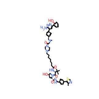 Cc1ncsc1-c1ccc(CNC(=O)[C@@H]2C[C@@H](O)CN2C(=O)[C@@H](NC(=O)CCCCCCCN2CCN(C(=O)CN(C)Cc3ccc(-c4cc(-c5ccccc5O)nnc4N)cc3)CC2)C(C)(C)C)cc1